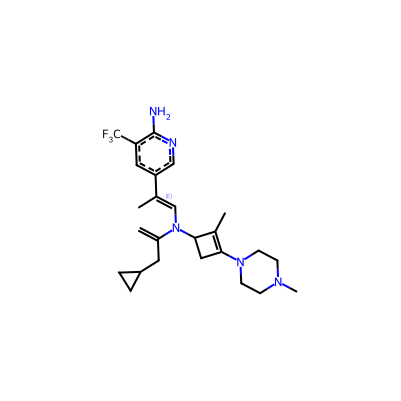 C=C(CC1CC1)N(/C=C(\C)c1cnc(N)c(C(F)(F)F)c1)C1CC(N2CCN(C)CC2)=C1C